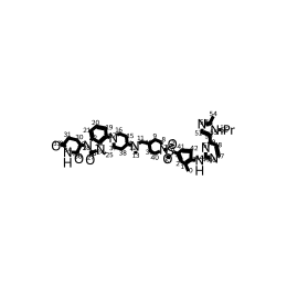 Cc1cc(S(=O)(=O)N2CCC(CN(C)C3CCN(c4cccc5c4n(C)c(=O)n5C4CCC(=O)NC4=O)CC3)CC2)ccc1Nc1nccc(-c2cnc(C)n2C(C)C)n1